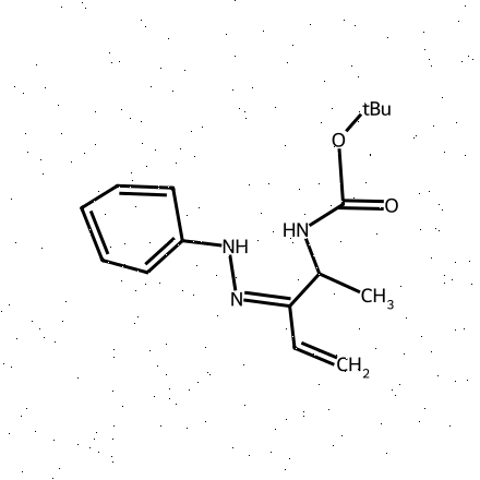 C=C/C(=N/Nc1ccccc1)C(C)NC(=O)OC(C)(C)C